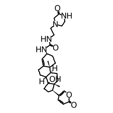 C[C@]12CC[C@H](NC(=O)NCCN3CCNC(=O)C3)C=C1CC[C@@H]1[C@@H]2CC[C@]2(C)[C@@H](c3ccc(=O)oc3)CC[C@]12O